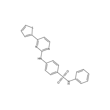 O=S(=O)(Nc1ccccc1)c1ccc(Nc2nccc(-c3cccs3)n2)cc1